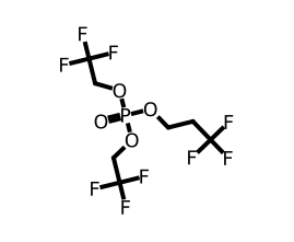 O=P(OCCC(F)(F)F)(OCC(F)(F)F)OCC(F)(F)F